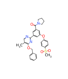 Cc1cnc(-c2cc(Oc3ccc(S(C)(=O)=O)cc3)cc(C(=O)N3CCCC3)c2)nc1OCc1ccccc1